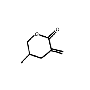 C=C1CC(C)COC1=O